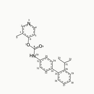 Cc1cnccc1OC(=O)Nc1ccc(-c2ccccc2C(C)C)cc1